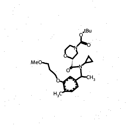 COCCCOc1cc(C(C)N(C(=O)[C@H]2CN(C(=O)OC(C)(C)C)CCO2)C2CC2)ccc1C